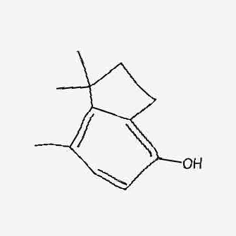 Cc1ccc(O)c2c1C(C)(C)CC2